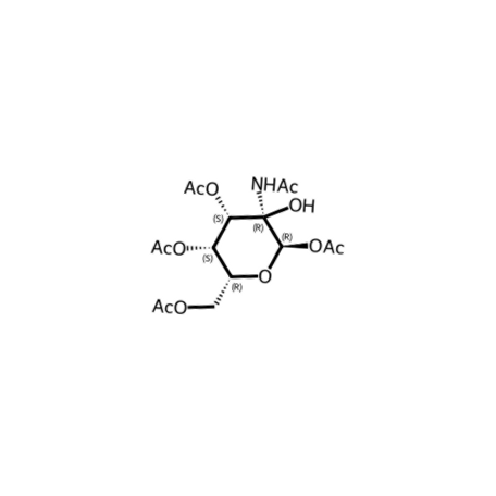 CC(=O)N[C@]1(O)[C@@H](OC(C)=O)O[C@H](COC(C)=O)[C@H](OC(C)=O)[C@@H]1OC(C)=O